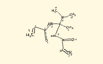 C=CC(=O)NC(C)(NC(=O)C=C)N(C)C